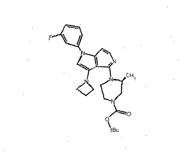 C[C@H]1CN(C(=O)OC(C)(C)C)CCN1c1nccc2c1c(N1CCC1)cn2-c1cccc(F)c1